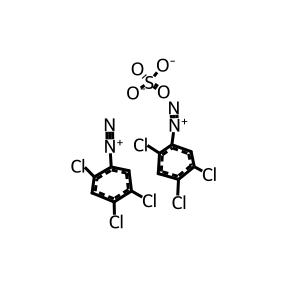 N#[N+]c1cc(Cl)c(Cl)cc1Cl.N#[N+]c1cc(Cl)c(Cl)cc1Cl.O=S(=O)([O-])[O-]